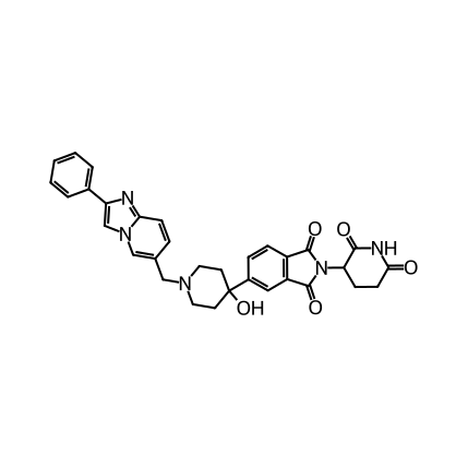 O=C1CCC(N2C(=O)c3ccc(C4(O)CCN(Cc5ccc6nc(-c7ccccc7)cn6c5)CC4)cc3C2=O)C(=O)N1